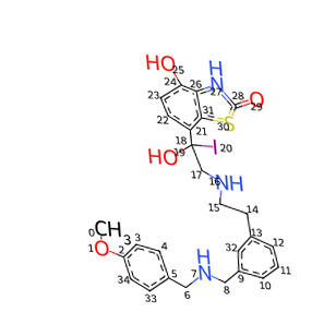 COc1ccc(CNCc2cccc(CCNCC(O)(I)c3ccc(O)c4[nH]c(=O)sc34)c2)cc1